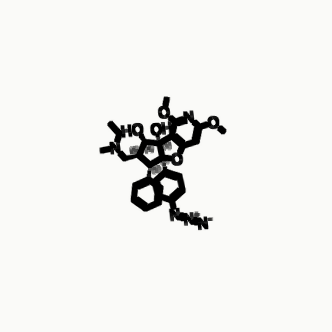 CCN(C)C[C@H]1[C@@H](O)[C@@]2(O)c3c(cc(OC)nc3OC)O[C@@]2(c2ccc(N=[N+]=[N-])cc2)[C@@H]1c1ccccc1